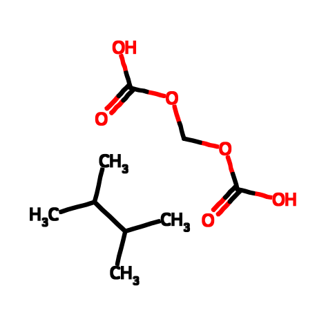 CC(C)C(C)C.O=C(O)OCOC(=O)O